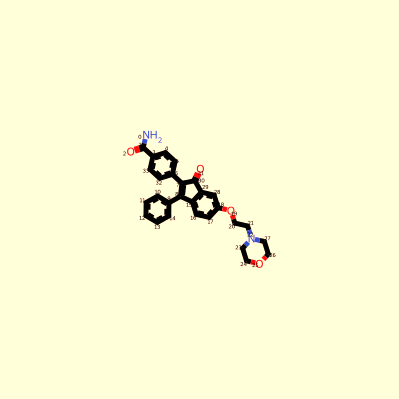 NC(=O)c1ccc(C2=C(c3ccccc3)c3ccc(OCCN4CCOCC4)cc3C2=O)cc1